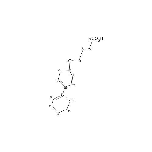 O=C(O)CCCOc1ccc(C2=CCCCC2)cc1